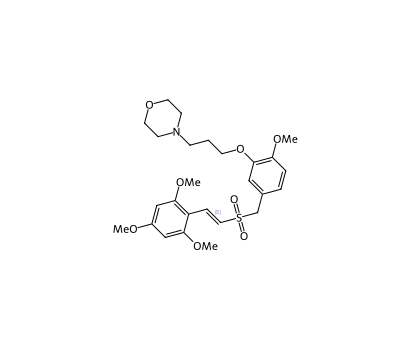 COc1cc(OC)c(/C=C/S(=O)(=O)Cc2ccc(OC)c(OCCCN3CCOCC3)c2)c(OC)c1